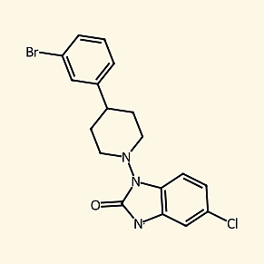 O=C1[N]c2cc(Cl)ccc2N1N1CCC(c2cccc(Br)c2)CC1